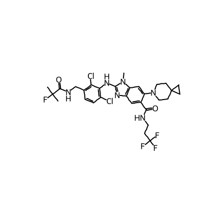 Cn1c(Nc2c(Cl)ccc(CNC(=O)C(C)(C)F)c2Cl)nc2cc(C(=O)NCCC(F)(F)F)c(N3CCC4(CC3)CC4)cc21